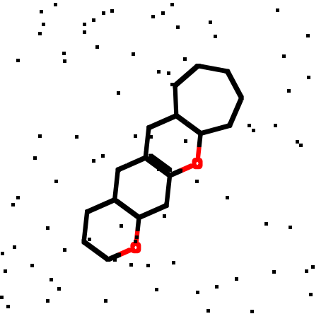 C1CCC2CC3=C(CC4OCCCC4C3)OC2CC1